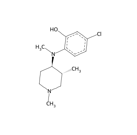 C[C@@H]1CN(C)CC[C@H]1N(C)c1ccc(Cl)cc1O